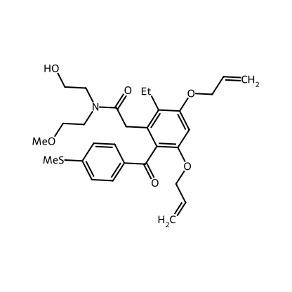 C=CCOc1cc(OCC=C)c(C(=O)c2ccc(SC)cc2)c(CC(=O)N(CCO)CCOC)c1CC